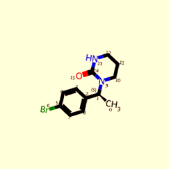 C[C@@H](c1ccc(Br)cc1)N1CCCNC1=O